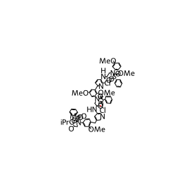 COc1ccc(OC)c(N(CC(=O)Nc2ccc(-c3cc(OC)cc(N(CC(=O)Nc4cc(Cc5cc(OC)c(N(CC(=O)OC(C)C)S(=O)(=O)c6ccccc6)cc5OC)cnc4Cl)S(=O)(=O)c4ccccc4)c3OC)nc2Cl)S(=O)(=O)c2ccccc2)c1